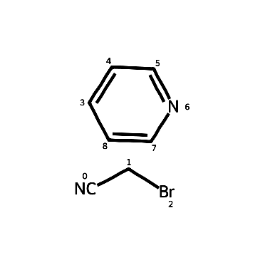 N#CCBr.c1ccncc1